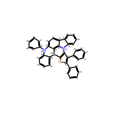 c1ccc(-c2sc3c(c2-c2ccccc2)-n2c4ccccc4c4ccc5c(c42)B3c2ccccc2N5c2ccccc2)cc1